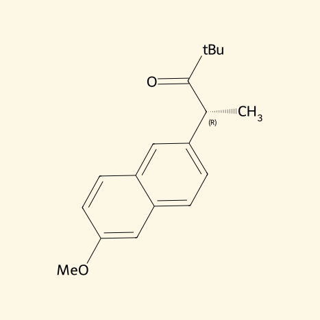 COc1ccc2cc([C@@H](C)C(=O)C(C)(C)C)ccc2c1